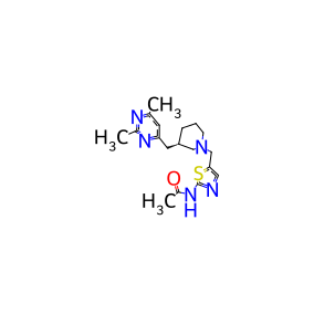 CC(=O)Nc1ncc(CN2CCC[C@H](Cc3cc(C)nc(C)n3)C2)s1